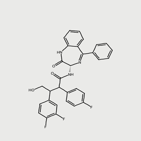 O=C(N[C@H]1N=C(c2ccccc2)c2ccccc2NC1=O)C(c1ccc(F)cc1)C(CO)c1ccc(F)c(F)c1